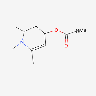 CNC(=O)OC1C=C(C)N(C)C(C)C1